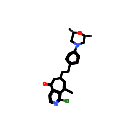 CC1=CC(CCc2ccc(N3C[C@@H](C)O[C@@H](C)C3)cc2)CC(=O)c2ccnc(Cl)c21